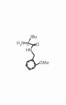 COc1ccccc1CNC(=O)[C@@H](N)C(C)(C)C